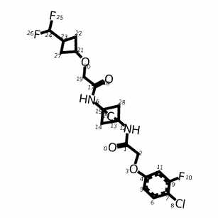 O=C(COc1ccc(Cl)c(F)c1)NC12CC(NC(=O)COC3CC(C(F)F)C3)(C1)C2